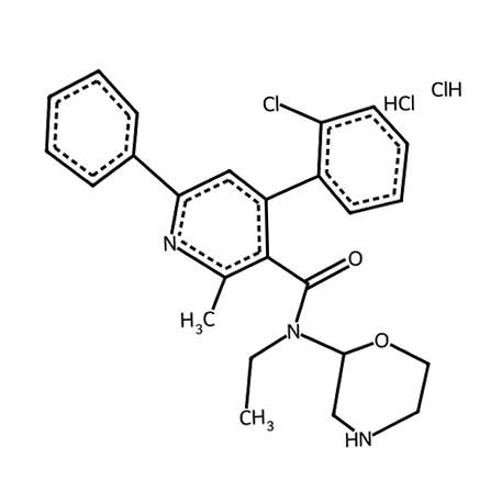 CCN(C(=O)c1c(-c2ccccc2Cl)cc(-c2ccccc2)nc1C)C1CNCCO1.Cl.Cl